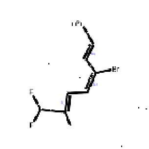 CCC/C=C/C(Br)=C\C=C(/C)C(F)F